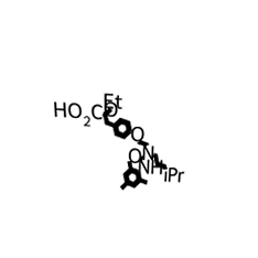 CCOC(Cc1ccc(OCCN(CCCC(C)C)C(=O)Nc2c(C)cc(C)cc2C)cc1)C(=O)O